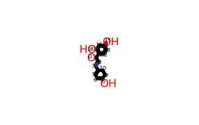 O=C(/C=C/C1=CC=C(O)CC1)c1ccc(O)cc1O